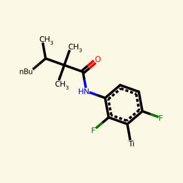 CCCCC(C)C(C)(C)C(=O)Nc1ccc(F)[c]([Ti])c1F